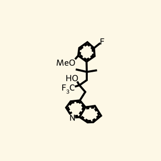 COc1ccc(F)cc1C(C)(C)CC(O)(Cc1ccnc2ccccc12)C(F)(F)F